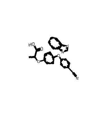 CC(Oc1ccc(Oc2ccc(C#N)cc2)cc1)C(=O)O.c1ccc2scnc2c1